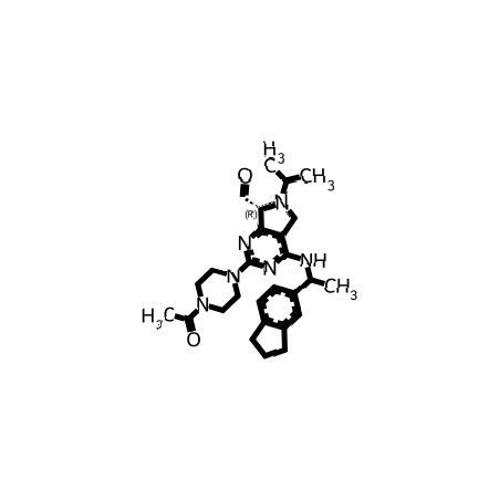 CC(=O)N1CCN(c2nc(NC(C)c3ccc4c(c3)CCC4)c3c(n2)[C@H](C=O)N(C(C)C)C3)CC1